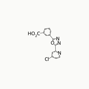 O=C(O)c1cccc(-c2nnc(-c3cc(Cl)ccn3)o2)c1